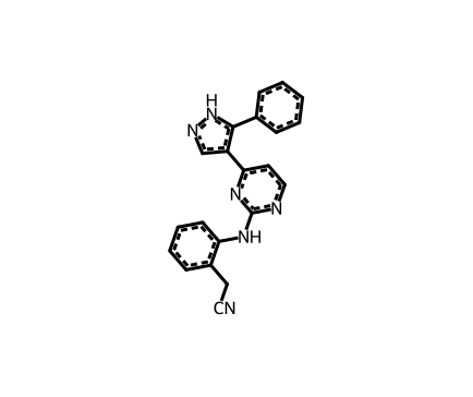 N#CCc1ccccc1Nc1nccc(-c2cn[nH]c2-c2ccccc2)n1